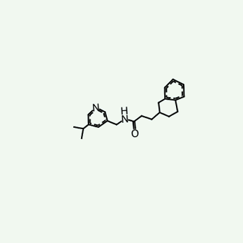 CC(C)c1cncc(CNC(=O)CCC2CCc3ccccc3C2)c1